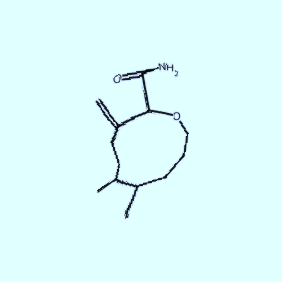 C=C1CC(C)C(C)CCCOC1C(N)=O